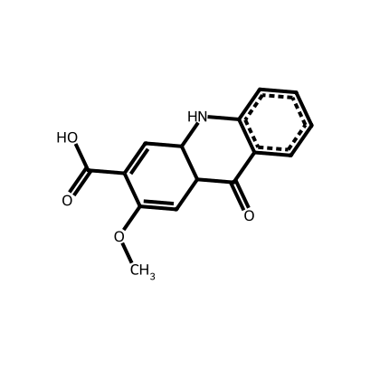 COC1=CC2C(=O)c3ccccc3NC2C=C1C(=O)O